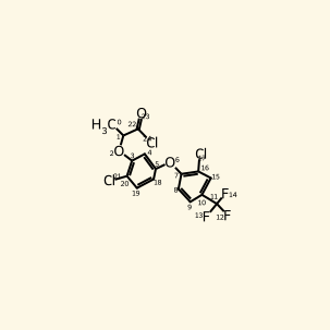 CC(Oc1cc(Oc2ccc(C(F)(F)F)cc2Cl)ccc1Cl)C(=O)Cl